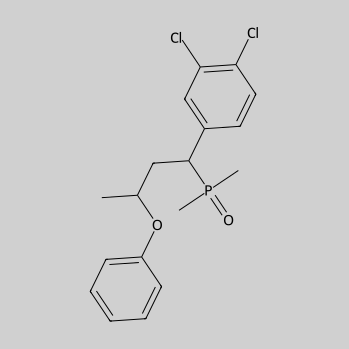 CC(CC(c1ccc(Cl)c(Cl)c1)P(C)(C)=O)Oc1ccccc1